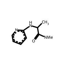 CNC(=O)C(C)Nc1ccccn1